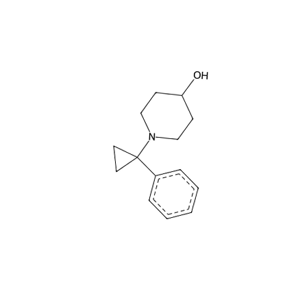 OC1CCN(C2(c3ccccc3)CC2)CC1